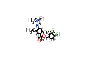 CCN(C)C=Nc1cc(OC)c(C2(OCc3ccc(Cl)c(F)c3)COC2)cc1C